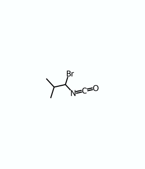 CC(C)C(Br)N=C=O